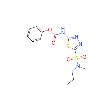 CCCN(C)S(=O)(=O)c1nnc(NC(=O)Oc2ccccc2)s1